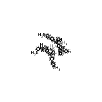 CCN(C(=O)Nc1cccc(C)c1)c1ccc(-c2nn([C@H]3CC[C@@H](N4CCN(C)CC4)CC3)c3ncnc(N)c23)cc1F.CN1CCN([C@H]2CC[C@@H](n3nc(-c4ccc(N(Cc5ccccc5)C(=O)Nc5ccc(F)cc5F)c(F)c4)c4c(N)ncnc43)CC2)CC1